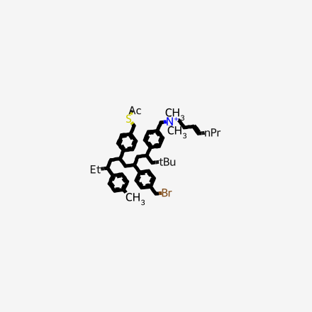 CCC/C=C/CC[N+](C)(C)Cc1ccc(C(CC(CC(CC(CC)c2ccc(C)cc2)c2ccc(CSC(C)=O)cc2)c2ccc(CBr)cc2)CC(C)(C)C)cc1